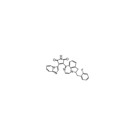 O=C1NC(=O)C(c2cnc3ccccn23)=C1C1=NC=CN2c3c(cccc31)CC2Cc1ccccc1F